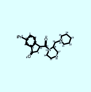 CC(C)c1ccc2c(c1)C(=O)CC2C(=O)N1CCSCC1CN1CCCCC1